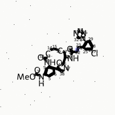 COC(=O)Nc1ccc2c(c1)NC(=O)CCCCC[C@H](NC(=O)/C=C/c1cc(Cl)ccc1-n1cnnn1)c1ncc-2o1